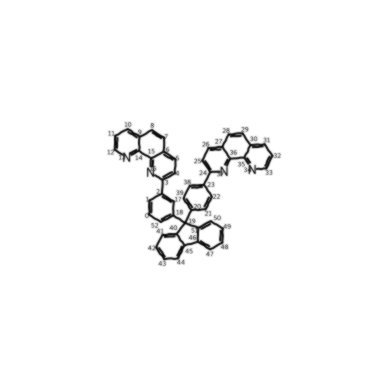 c1cc(-c2ccc3ccc4cccnc4c3n2)cc(C2(c3ccc(-c4ccc5ccc6cccnc6c5n4)cc3)c3ccccc3-c3ccccc32)c1